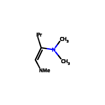 CN/C=C(/C(C)C)N(C)C